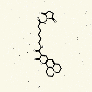 O=C(CCCCCNC(=O)c1cc2cc3c4c(c2oc1=O)CCCN4CCC3)ON1C(=O)CCC1=O